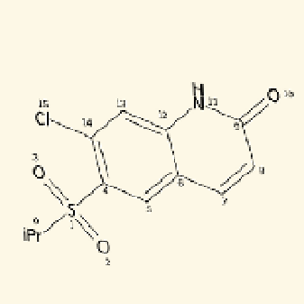 CC(C)S(=O)(=O)c1cc2ccc(=O)[nH]c2cc1Cl